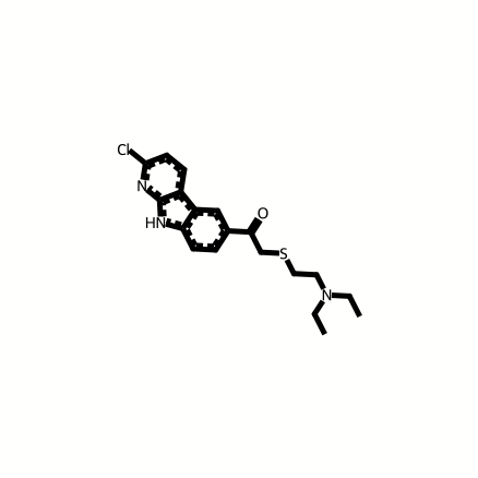 CCN(CC)CCSCC(=O)c1ccc2[nH]c3nc(Cl)ccc3c2c1